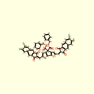 O=C1C(=Cc2cc3c(s2)-c2sc(C=C4C(=O)c5cc6cc(F)c(F)cc6cc5C4=O)cc2C3(C(=O)OCc2ccccc2)C(=O)OCc2ccccc2)C(=O)c2cc3cc(F)c(F)cc3cc21